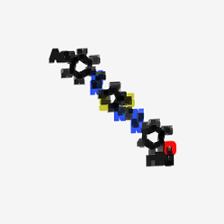 CCCCOc1ccc(N=Nc2nc3sc(N=Nc4ccc(C(C)=O)cc4)cc3s2)cc1